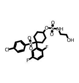 O=S(=O)(NCCO)OC1CCC(c2cc(F)ccc2F)(S(=O)(=O)c2ccc(Cl)cc2)CC1